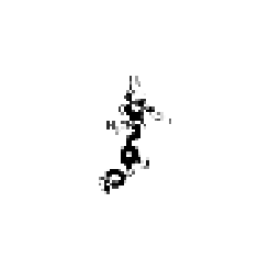 CCn1c(=O)c2c(nc(C=Cc3ccc(OC4CCS(=O)(=O)CC4)c(Cl)c3)n2C)n(CC)c1=O